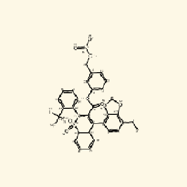 CCc1ccc(C2=C(C(=O)Oc3cccc(CO[N+](=O)[O-])c3)N(c3ccccc3C(F)(F)F)S(=O)(=O)C3C=CC=CC23)c2c1OCO2